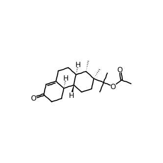 CC(=O)OC(C)(C)[C@@]1(C)CC[C@H]2[C@@H](CCC3=CC(=O)CC[C@@H]32)[C@@H]1C